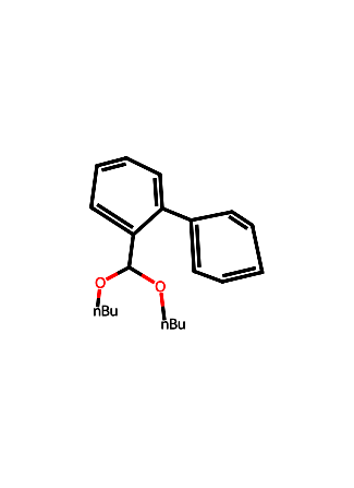 CCCCOC(OCCCC)c1ccccc1-c1ccccc1